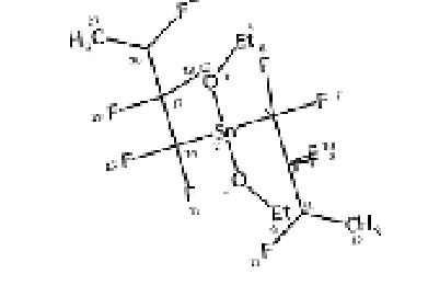 CC[O][Sn]([O]CC)([C](F)(F)C(F)(F)C(C)F)[C](F)(F)C(F)(F)C(C)F